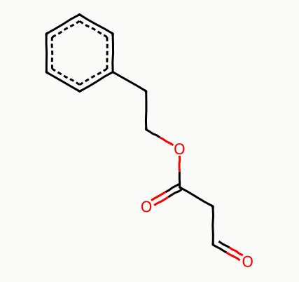 O=CCC(=O)OCCc1ccccc1